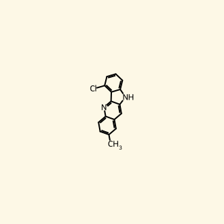 Cc1ccc2nc3c(cc2c1)[nH]c1cccc(Cl)c13